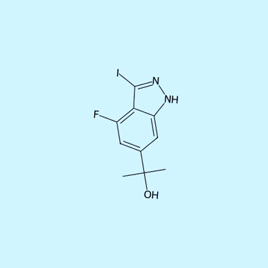 CC(C)(O)c1cc(F)c2c(I)n[nH]c2c1